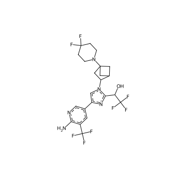 Nc1ncc(-c2cn(C3CC4(N5CCC(F)(F)CC5)CC3C4)c(C(O)C(F)(F)F)n2)cc1C(F)(F)F